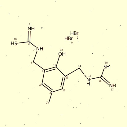 Br.Br.Cc1cc(CNC(=N)S)c(O)c(CNC(=N)S)c1